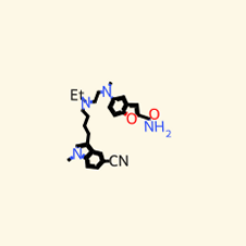 CCN(CCCCc1cn(C)c2ccc(C#N)cc12)CCN(C)c1ccc2oc(C(N)=O)cc2c1